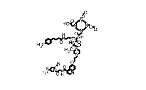 CC[C@H](NC(=O)[C@H](CSCCNC(=O)CCCc1ccc(C)cc1)NC(=O)CN1CCN(COC=O)CCN(COC=O)CCN(CC(=O)O)CC1)C(=O)N1CCN(CCCOc2ccc3nccc(C(=O)NCC(=O)N4CC(C)(F)C[C@@H]4C#N)c3c2)CC1